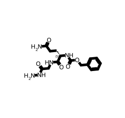 NNC(=O)CNC(=O)[C@H](CCC(N)=O)NC(=O)OCc1ccccc1